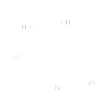 C=C(C)c1cc(C(C)C)ncc1S